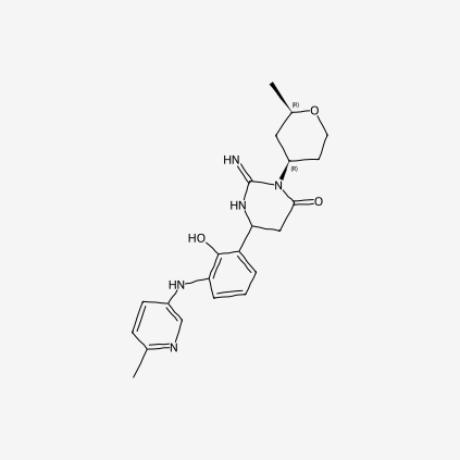 Cc1ccc(Nc2cccc(C3CC(=O)N([C@@H]4CCO[C@H](C)C4)C(=N)N3)c2O)cn1